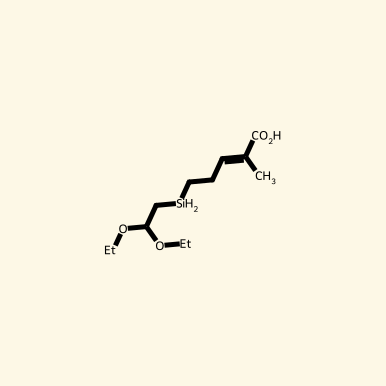 CCOC(C[SiH2]CCC=C(C)C(=O)O)OCC